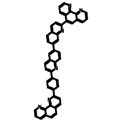 c1cnc2c(c1)ccc1ccc(-c3ccc(-c4ccc5cc(-c6ccc7ccc(-c8cc9cccnc9c9ncccc89)nc7c6)ccc5n4)cc3)nc12